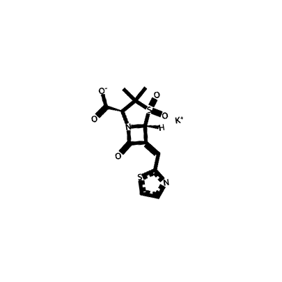 CC1(C)[C@H](C(=O)[O-])N2C(=O)/C(=C\c3nccs3)[C@H]2S1(=O)=O.[K+]